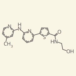 Cc1ccnc(Nc2cccc(-c3ccc(C(=O)NCCO)s3)n2)c1